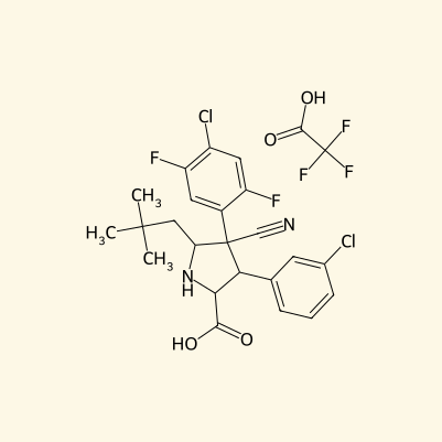 CC(C)(C)CC1NC(C(=O)O)C(c2cccc(Cl)c2)C1(C#N)c1cc(F)c(Cl)cc1F.O=C(O)C(F)(F)F